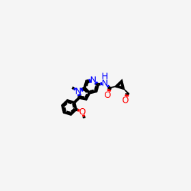 COc1ccccc1-c1cc2cc(NC(=O)[C@H]3C[C@H]3C=O)ncc2n1C